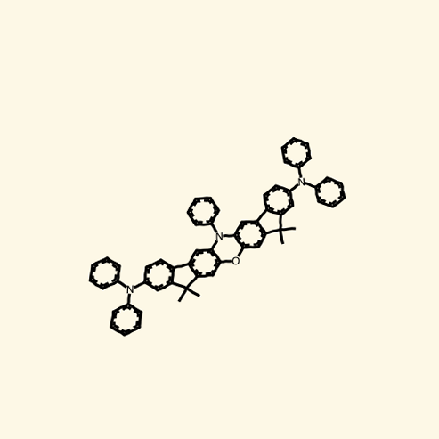 CC1(C)c2cc(N(c3ccccc3)c3ccccc3)ccc2-c2cc3c(cc21)Oc1cc2c(cc1N3c1ccccc1)-c1ccc(N(c3ccccc3)c3ccccc3)cc1C2(C)C